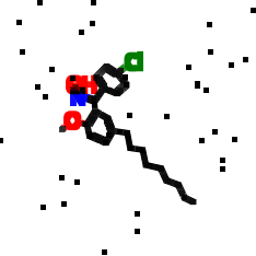 CCCCCCCCCc1ccc(OC)c(C(=NO)c2ccc(Cl)cc2)c1